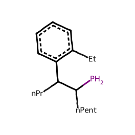 CCCCCC(P)C(CCC)c1ccccc1CC